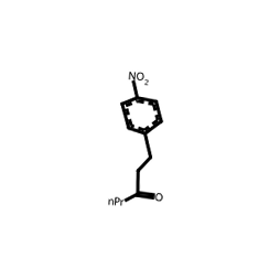 CCCC(=O)CCc1ccc([N+](=O)[O-])cc1